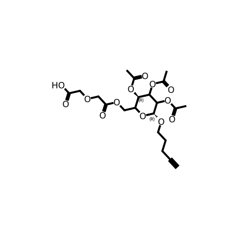 C#CCCCO[C@@H]1OC(COC(=O)COCC(=O)O)[C@@H](OC(C)=O)C(OC(C)=O)C1OC(C)=O